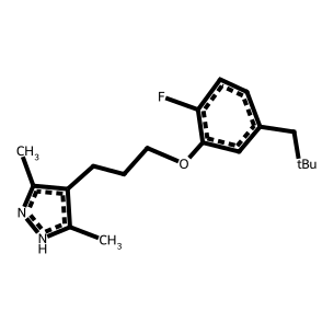 Cc1n[nH]c(C)c1CCCOc1cc(CC(C)(C)C)ccc1F